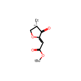 CC[C@H]1COC(=CC(=O)OC(C)(C)C)C1=O